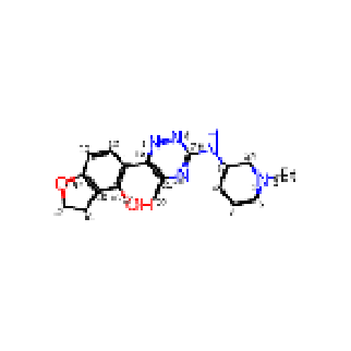 CCN1CCC[C@@H](Nc2nnc(-c3ccc4c(c3O)CCO4)c(C)n2)C1